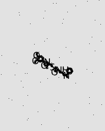 COc1ccc(-c2nc(CSCC(=O)NCCCN(C)c3ccccc3)c(C)o2)cc1OC